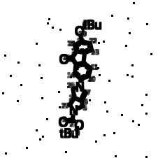 CC(C)(C)OC(=O)N1CC2=CN(c3ccc4c(c3)C(=O)c3cc(OC(C)(C)C)ccc3-4)CC2C1